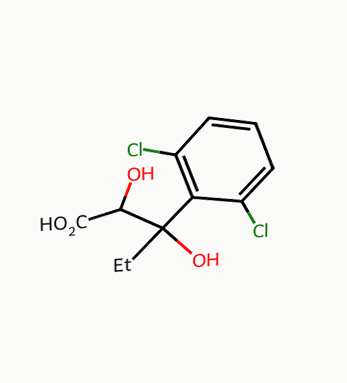 CCC(O)(c1c(Cl)cccc1Cl)C(O)C(=O)O